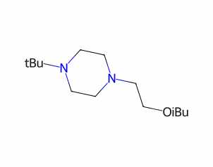 CC(C)COCCN1CCN(C(C)(C)C)CC1